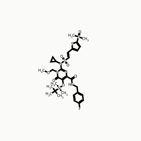 COCn1c(N(C2CC2)S(=O)(=O)/C=C/c2ccc(P(C)(C)=O)s2)nc(C(=O)NCc2ccc(F)cc2)c(O[Si](C)(C)C(C)(C)C)c1=O